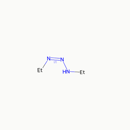 CC/N=N\NCC